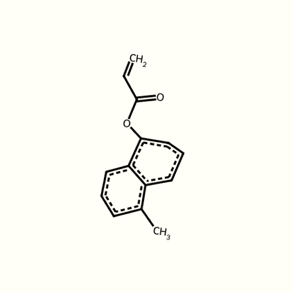 C=CC(=O)Oc1cccc2c(C)cccc12